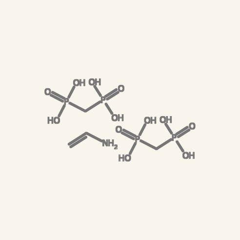 C=CN.O=P(O)(O)CP(=O)(O)O.O=P(O)(O)CP(=O)(O)O